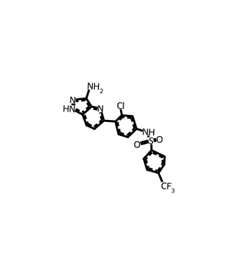 Nc1n[nH]c2ccc(-c3ccc(NS(=O)(=O)c4ccc(C(F)(F)F)cc4)cc3Cl)nc12